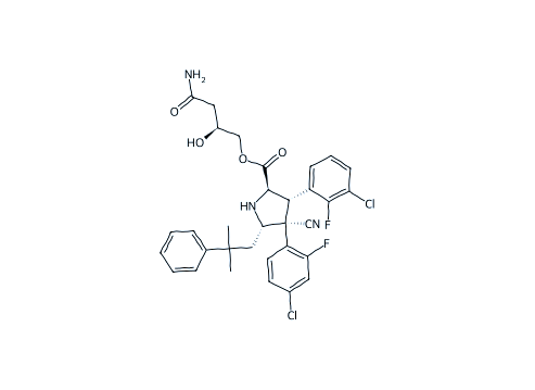 CC(C)(C[C@@H]1N[C@@H](C(=O)OC[C@@H](O)CC(N)=O)[C@H](c2cccc(Cl)c2F)[C@@]1(C#N)c1ccc(Cl)cc1F)c1ccccc1